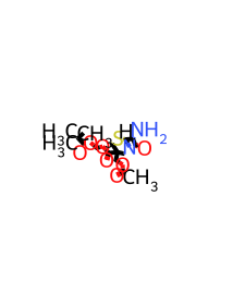 CC(=O)OCC1(C(=O)OCOC(=O)C(C)(C)C)CS[C@@H]2C(N)C(=O)N2C1